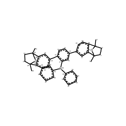 CC12CCC(C)(O1)c1cc(-c3ccc(-c4ccc5c(c4)C4(C)CCC5(C)O4)c(N(c4ccccc4)c4ccccc4)c3)ccc12